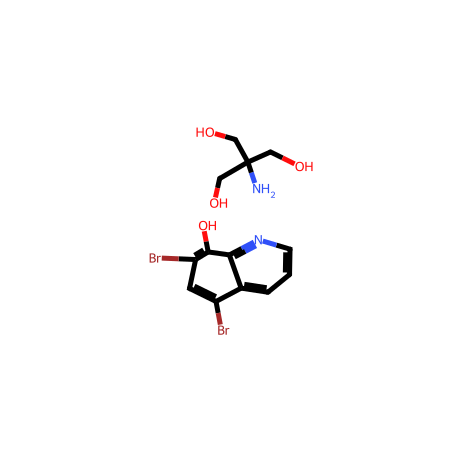 NC(CO)(CO)CO.Oc1c(Br)cc(Br)c2cccnc12